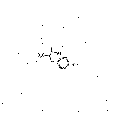 O=C(O)C(Cc1ccc(O)cc1)N(I)[At]